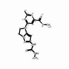 CNC(=O)Nc1cc2n(n1)CCN2c1cc(C(=O)OC)nc(I)n1